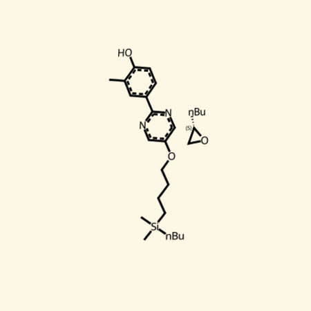 CCCC[C@H]1CO1.CCCC[Si](C)(C)CCCCOc1cnc(-c2ccc(O)c(C)c2)nc1